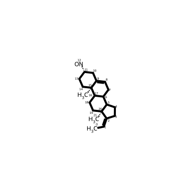 C/C=C1/CCC2C3CC=C4C[C@@H](N=O)CC[C@]4(C)C3CC[C@]12C